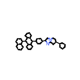 c1ccc(-c2ccn3cc(-c4ccc(-c5c6ccccc6c(-c6cccc7ccccc67)c6ccccc56)cc4)nc3c2)cc1